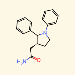 NC(=O)C[C@@H]1CCN(c2ccccc2)C1c1ccccc1